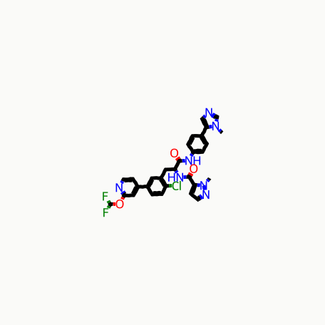 Cn1cncc1-c1ccc(NC(=O)C(Cc2cc(-c3ccnc(OC(F)F)c3)ccc2Cl)NC(=O)c2ccnn2C)cc1